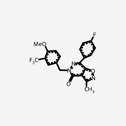 COc1ccc(Cn2nc(-c3ccc(F)cc3)c3onc(C)c3c2=O)cc1C(F)(F)F